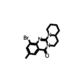 Cc1cc(Br)c2nc3n(c(=O)c2c1)CCC1CCCCN31